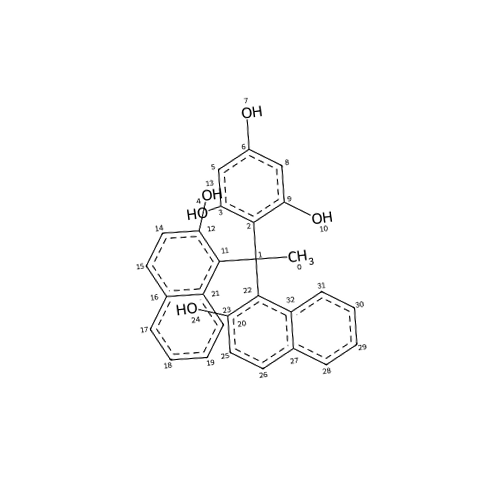 CC(c1c(O)cc(O)cc1O)(c1c(O)ccc2ccccc12)c1c(O)ccc2ccccc12